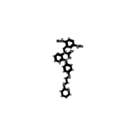 CCC(=O)N(Cc1cc(OC)ccc1OC)c1cccnc1Oc1ccc(OCCOC2CCCCO2)cc1